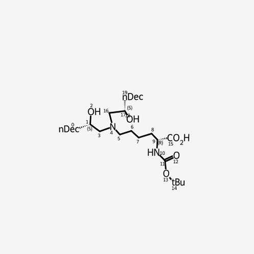 CCCCCCCCCC[C@H](O)CN(CCCC[C@@H](NC(=O)OC(C)(C)C)C(=O)O)C[C@@H](O)CCCCCCCCCC